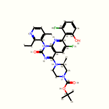 CCc1nccc(C)c1-n1c(=O)nc(N2CCN(C(=O)OC(C)(C)C)C[C@@H]2C)c2cc(F)c(-c3c(O)cccc3F)nc21